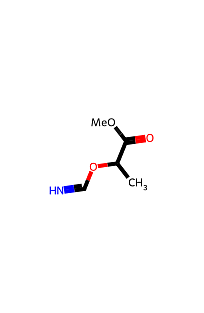 COC(=O)C(C)OC=N